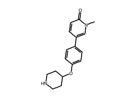 Cn1cc(-c2ccc(OC3CCNCC3)cc2)ccc1=O